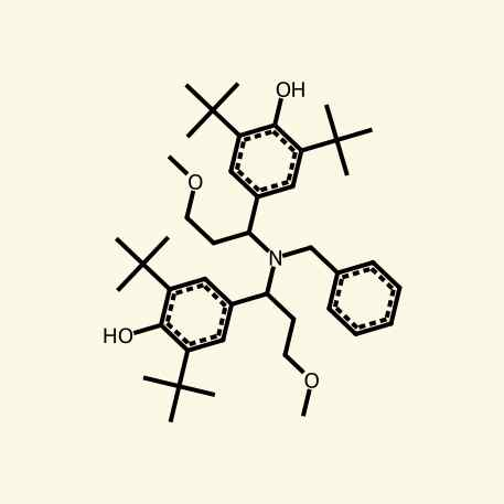 COCCC(c1cc(C(C)(C)C)c(O)c(C(C)(C)C)c1)N(Cc1ccccc1)C(CCOC)c1cc(C(C)(C)C)c(O)c(C(C)(C)C)c1